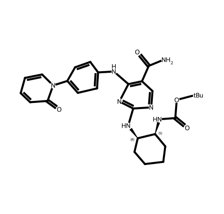 CC(C)(C)OC(=O)N[C@H]1CCCC[C@H]1Nc1ncc(C(N)=O)c(Nc2ccc(-n3ccccc3=O)cc2)n1